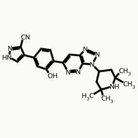 CC1(C)CC(n2nnc3cc(-c4ccc(-c5c[nH]nc5C#N)cc4O)nnc32)CC(C)(C)N1